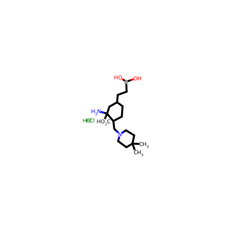 CC1(C)CCN(CC2CCC(CCB(O)O)CC2(N)C(=O)O)CC1.Cl.Cl